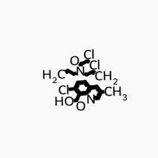 C=CCN(CC=C)C(=O)C(Cl)Cl.Cc1cnc2c(C(=O)O)c(Cl)ccc2c1